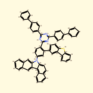 c1ccc(-c2ccc(-c3nc(-c4ccc(-c5ccccc5)cc4)nc(-c4ccc(-n5c6cc7ccccc7cc6c6c7ccccc7ccc65)cc4-c4ccc5sc6ccccc6c5c4)n3)cc2)cc1